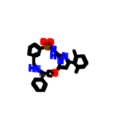 Cc1cccc(C)c1-c1cc2nc(n1)NS(=O)(=O)c1cccc(c1)CN[C@@H](c1ccccc1)CO2